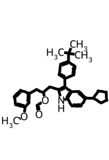 COc1cccc(CC(Cc2[nH]c3ccc(C4CCCC4)cc3c2-c2ccc(C(C)(C)C)cc2)OC=O)c1